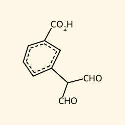 O=CC(C=O)c1cccc(C(=O)O)c1